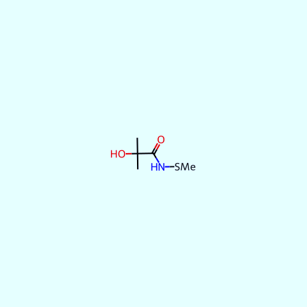 CSNC(=O)C(C)(C)O